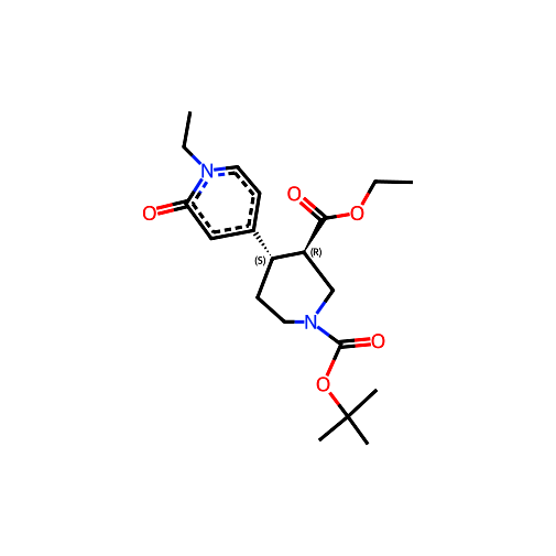 CCOC(=O)[C@H]1CN(C(=O)OC(C)(C)C)CC[C@@H]1c1ccn(CC)c(=O)c1